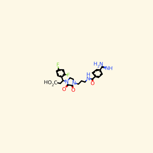 N=C(N)c1ccc(C(=O)NCCCN2CCN(C(CC(=O)O)c3ccc(F)cc3F)C(=O)C2=O)cc1